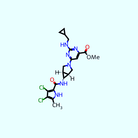 COC(=O)c1cc(N2C[C@@H]3[C@H](C2)[C@H]3NC(=O)c2[nH]c(C)c(Cl)c2Cl)nc(NCC2CC2)n1